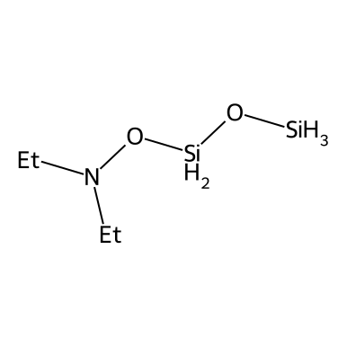 CCN(CC)O[SiH2]O[SiH3]